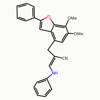 COc1cc(C/C(C#N)=C/Nc2ccccc2)c2cc(-c3ccccc3)oc2c1OC